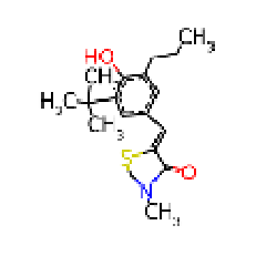 CCCc1cc(/C=C2\SCN(C)C2=O)cc(C(C)(C)C)c1O